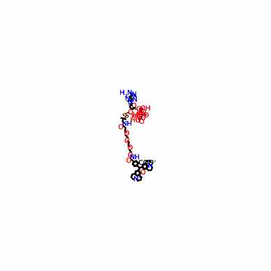 CC(C)(CNC(=O)CCOCCOCCOCCONC(=O)c1ccc(C2=c3cc4c5c(c3Oc3c2cc2c6c3CCCN6CCC2)CCC[N+]=5CCC4)c(C(=O)[O-])c1)SSCOC1C[C@H](n2cnc3c(N)ncnc32)O[C@@H]1COP(=O)(O)OP(=O)(O)OP(=O)(O)O